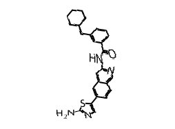 Nc1ncc(-c2ccc3cnc(NC(=O)c4cccc(CC5CCCCC5)c4)cc3c2)s1